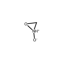 [O-][NH+]1CO1